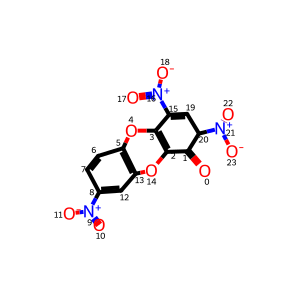 O=C1C2=C(Oc3ccc([N+](=O)[O-])cc3O2)C([N+](=O)[O-])=CC1[N+](=O)[O-]